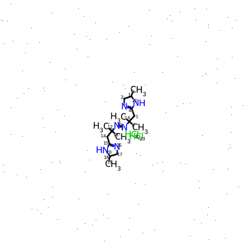 CC1CN=C(CC(C)(C)N=NC(C)(C)CC2=NCC(C)N2)N1.Cl.Cl